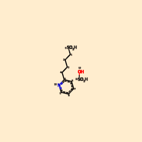 O=S(=O)(O)CCCCc1ccccn1.O=S(=O)(O)O